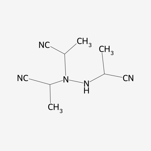 CC(C#N)NN(C(C)C#N)C(C)C#N